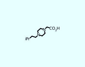 CC(C)CCN1CCN(CC(=O)O)CC1